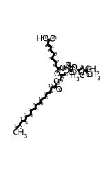 CCCCCCCCCCCCCCCCC(=O)OC[C@H](COP(=O)(O)OCC[N+](C)(C)C)OC(=O)CCCCCCCC(=O)O